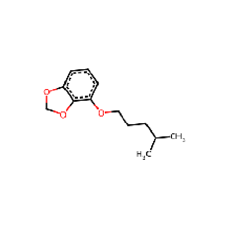 CC(C)CCCOc1cccc2c1OCO2